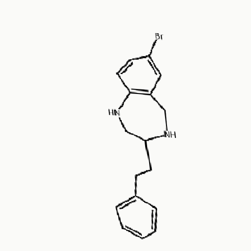 Brc1ccc2c(c1)CNC(CCc1ccccc1)CN2